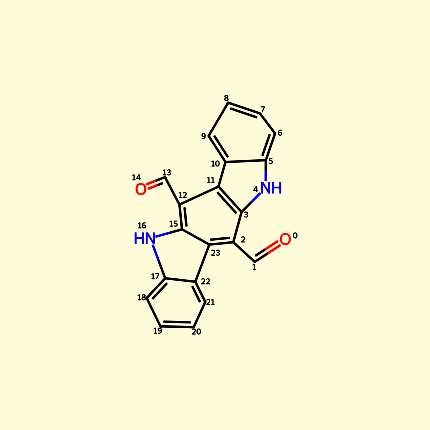 O=Cc1c2[nH]c3ccccc3c2c(C=O)c2[nH]c3ccccc3c12